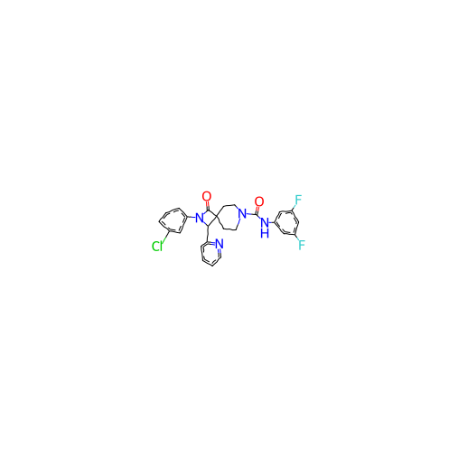 O=C(Nc1cc(F)cc(F)c1)N1CCC2(CC1)C(=O)N(c1cccc(Cl)c1)C2c1ccccn1